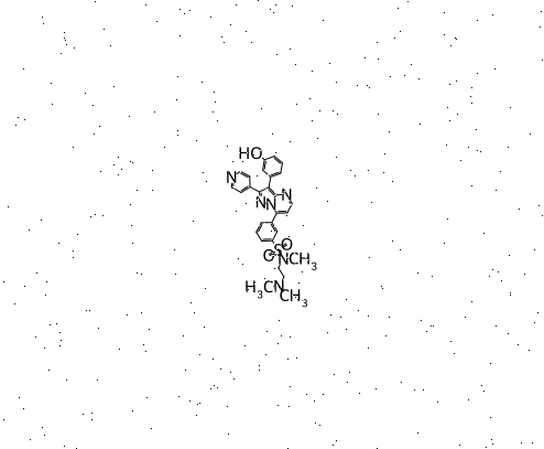 CN(C)CCN(C)S(=O)(=O)c1cccc(-c2ccnc3c(-c4cccc(O)c4)c(-c4ccncc4)nn23)c1